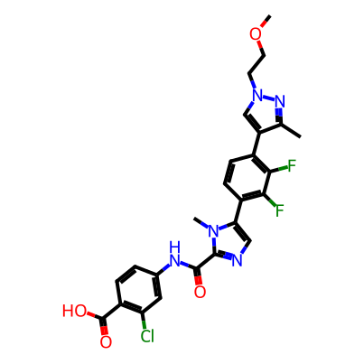 COCCn1cc(-c2ccc(-c3cnc(C(=O)Nc4ccc(C(=O)O)c(Cl)c4)n3C)c(F)c2F)c(C)n1